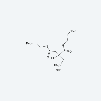 CCCCCCCCCCCCOC(=O)CC(O)(CC(=O)O)C(=O)OCCCCCCCCCCCC.[NaH]